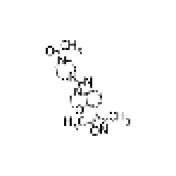 CC(=O)N1CCCN(c2nc3ccc(-c4c(C)noc4C)c4c3n2CCO4)CC1